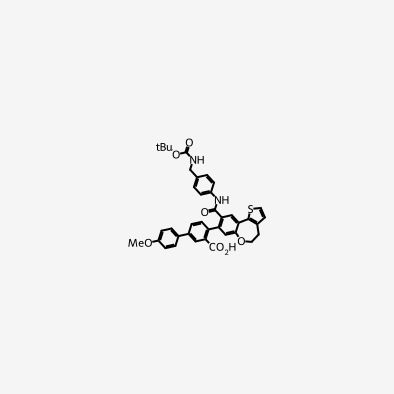 COc1ccc(-c2ccc(-c3cc4c(cc3C(=O)Nc3ccc(CNC(=O)OC(C)(C)C)cc3)-c3sccc3CCO4)c(C(=O)O)c2)cc1